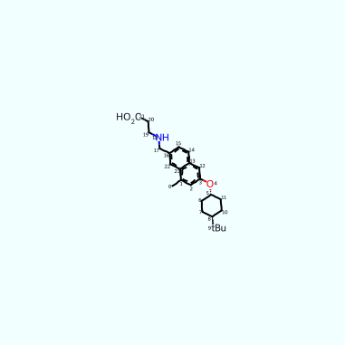 Cc1cc(O[C@H]2CC[C@H](C(C)(C)C)CC2)cc2ccc(CNCCC(=O)O)cc12